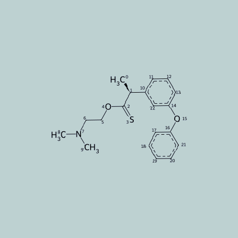 C[C@H](C(=S)OCCN(C)C)c1cccc(Oc2ccccc2)c1